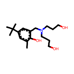 Cc1cc(C(C)(C)C)cc(CN(CCCO)CCCO)c1O